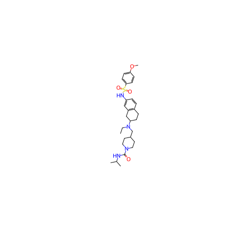 CCN(CC1CCN(C(=O)NC(C)C)CC1)C1CCc2ccc(NS(=O)(=O)c3ccc(OC)cc3)cc2C1